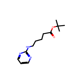 CC(C)(C)OC(=O)CCCCNc1ncccn1